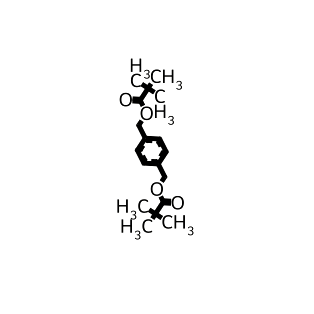 CC(C)(C)C(=O)OCc1ccc(COC(=O)C(C)(C)C)cc1